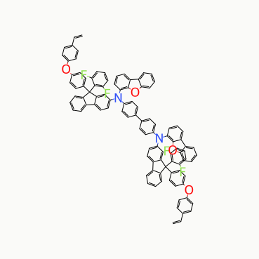 C=Cc1ccc(Oc2ccc(C3(c4c(F)cccc4F)c4ccccc4-c4ccc(N(c5ccc(-c6ccc(N(c7ccc8c(c7)C(c7ccc(Oc9ccc(C=C)cc9)cc7)(c7c(F)cccc7F)c7ccccc7-8)c7cccc8c7oc7ccccc78)cc6)cc5)c5cccc6c5oc5ccccc56)cc43)cc2)cc1